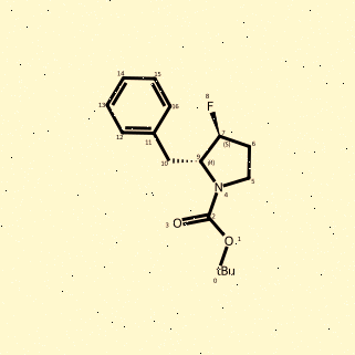 CC(C)(C)OC(=O)N1CC[C@H](F)[C@H]1Cc1ccccc1